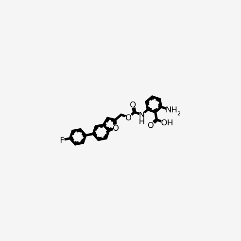 Nc1cccc(NC(=O)OCc2cc3cc(-c4ccc(F)cc4)ccc3o2)c1C(=O)O